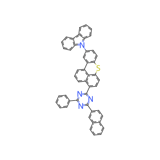 c1ccc(-c2nc(-c3ccc4ccccc4c3)nc(-c3ccc4c5c(cccc35)-c3cc(-n5c6ccccc6c6ccccc65)ccc3S4)n2)cc1